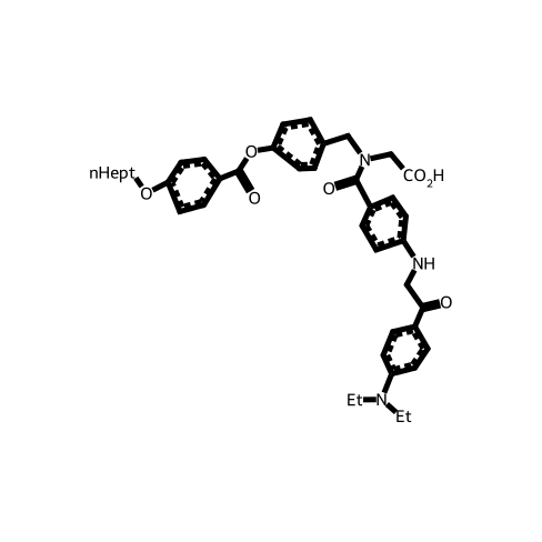 CCCCCCCOc1ccc(C(=O)Oc2ccc(CN(CC(=O)O)C(=O)c3ccc(NCC(=O)c4ccc(N(CC)CC)cc4)cc3)cc2)cc1